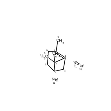 CC1=C2CC(CC1)C2(C)C.[In].[Nb].[Pb]